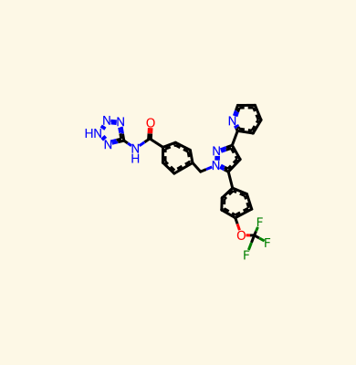 O=C(Nc1nn[nH]n1)c1ccc(Cn2nc(-c3ccccn3)cc2-c2ccc(OC(F)(F)F)cc2)cc1